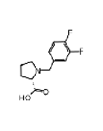 O=C(O)[C@@H]1CCCN1Cc1ccc(F)c(F)c1